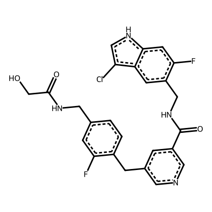 O=C(CO)NCc1ccc(Cc2cncc(C(=O)NCc3cc4c(Cl)c[nH]c4cc3F)c2)c(F)c1